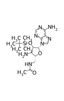 CC(=O)NC[C@H]1O[C@@H](n2cnc3c(N)ncnc32)C(O[Si](C)(C)C(C)(C)C)C1N